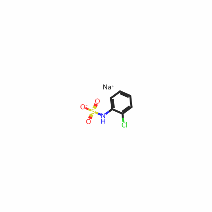 O=S(=O)([O-])Nc1ccccc1Cl.[Na+]